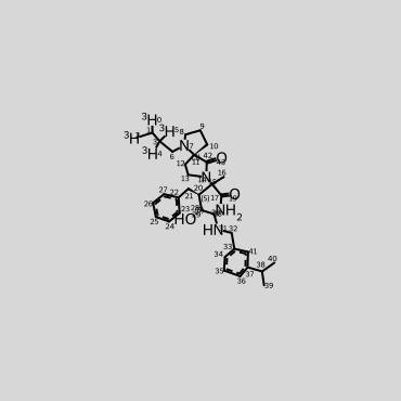 [3H]C([3H])C([3H])([3H])CN1CCC[C@@]12CCN(C(C)(C(N)=O)[C@H](Cc1ccccc1)[C@@H](O)CNCc1cccc(C(C)C)c1)C2=O